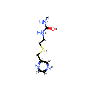 CNC(=O)NCCSCc1cnccn1